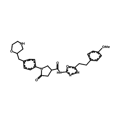 COc1ccc(CCc2nnc(NC(=O)C3CC(=O)N(c4ccc(CC5CNCCO5)cc4)C3)o2)cc1